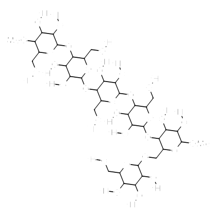 [2H]OCC1OC(OCC2OC(OC)C(O[2H])C(O[2H])C2OC2OC(CO[2H])C(OC3OC(CO[2H])C(OC4OC(CO[2H])C(OC5OC(CO[2H])C(OC)C(O[2H])C5O[2H])C(O[2H])C4O[2H])C(O[2H])C3O[2H])C(O[2H])C2O[2H])C(O[2H])C(O[2H])C1O[2H]